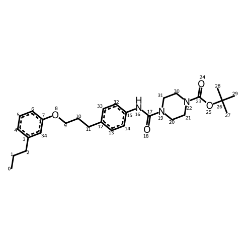 CCCc1cccc(OCCCc2ccc(NC(=O)N3CCN(C(=O)OC(C)(C)C)CC3)cc2)c1